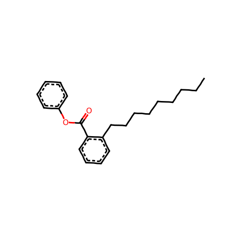 CCCCCCCCCc1ccccc1C(=O)Oc1ccccc1